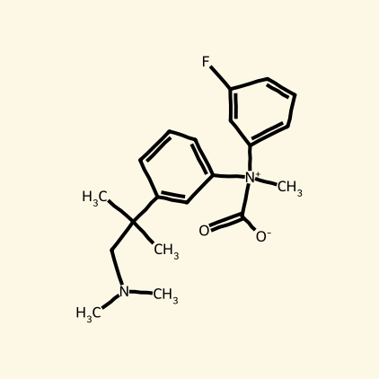 CN(C)CC(C)(C)c1cccc([N+](C)(C(=O)[O-])c2cccc(F)c2)c1